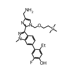 CCc1cc(O)c(F)cc1-c1ccc2c(-c3nc(CN)cn3COCC[Si](C)(C)C)nn(C)c2c1